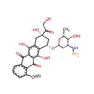 COc1cccc2c1C(=O)c1c(O)c3c(c(O)c1C2=O)C[C@@](O)(C(=O)CO)C[C@@H]3OC1CC(NP)C(O)C(C)O1